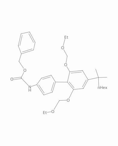 CCCCCCC(C)(C)c1cc(OCOCC)c(-c2ccc(NC(=O)OCc3ccccc3)cc2)c(OCOCC)c1